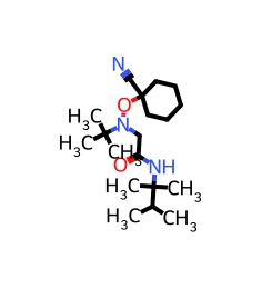 CC(C)C(C)(C)NC(=O)CN(OC1(C#N)CCCCC1)C(C)(C)C